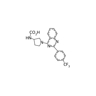 O=C(O)NC1CCN(c2nc(-c3ccc(C(F)(F)F)cc3)nc3ccccc23)C1